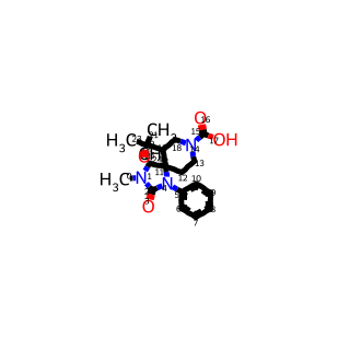 CN1C(=O)N(c2ccccc2)C2(CCN(C(=O)O)CC2C(C)(C)C)C1=O